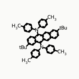 Cc1ccc(N(c2ccc(C)cc2)c2c3ccc(C(C)(C)C)cc3c(N(c3ccc(C)cc3)c3ccc(C)cc3)c3cc4ccc(C(C)(C)C)cc4cc23)cc1